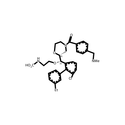 CCc1cccc(-c2c(Cl)cccc2[C@H](OCCNC(=O)O)[C@H]2CN(C(=O)c3ccc(CNC)cc3)CCO2)c1